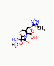 CO[C@]1(N)C(=O)N2C(C(=O)O)=C(CSc3nnnn3C)CSC21